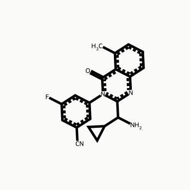 Cc1cccc2nc(C(N)C3CC3)n(-c3cc(F)cc(C#N)c3)c(=O)c12